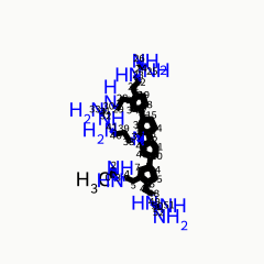 CC(=N)NCCc1cc(-c2ccc3c4ccc(-c5ccc(CCNC(=N)N)c(CCNC(=N)N)c5)cc4n(CCCN)c3c2)ccc1CCNC(=N)N